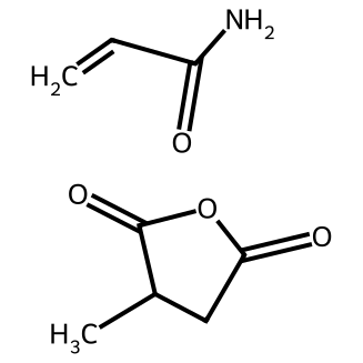 C=CC(N)=O.CC1CC(=O)OC1=O